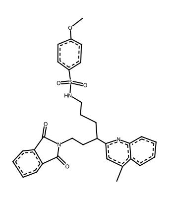 COc1ccc(S(=O)(=O)NCCCC(CCN2C(=O)c3ccccc3C2=O)c2cc(C)c3ccccc3n2)cc1